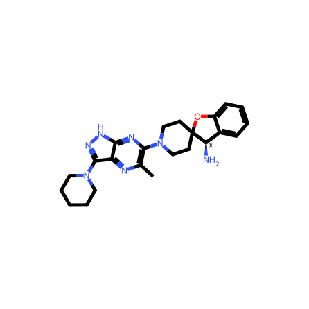 Cc1nc2c(N3CCCCC3)n[nH]c2nc1N1CCC2(CC1)Oc1ccccc1[C@H]2N